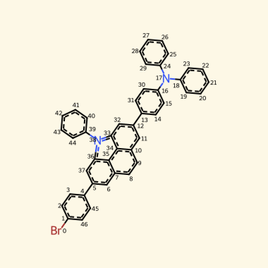 Brc1ccc(-c2cc3ccc4cc(-c5ccc(N(c6ccccc6)c6ccccc6)cc5)cc5c4c3c(c2)n5-c2ccccc2)cc1